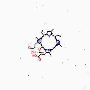 C=Cc1c2nc(c(CC)c3[nH]c(c(CCC(=O)O)c3C)c(OC(C)=O)c3nc(cc4[nH]c1cc4C)C(C)=C3CCC(=O)O)C=C2C